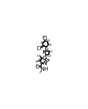 CNC(=O)C(=NOC)C(C)=C(C)Oc1ccn(-c2ccc(Cl)cc2Cl)n1